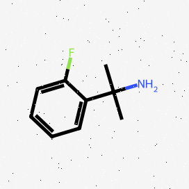 CC(C)(N)c1c[c]ccc1F